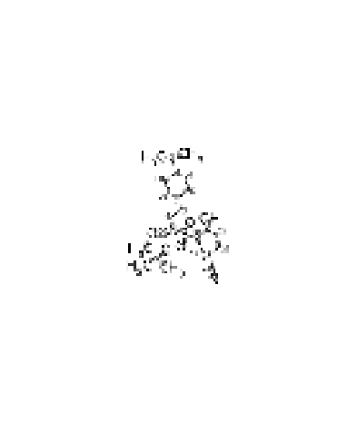 CC(C)c1ccc(CCN(C(=O)OC(C)(C)C)S(=O)(=O)c2cc(C#N)ccc2O)cc1